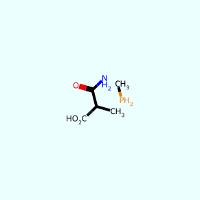 CC(C(N)=O)C(=O)O.CP